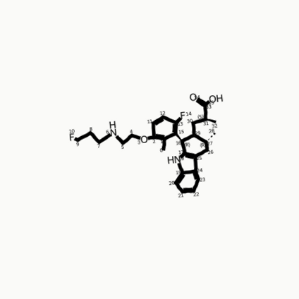 Cc1c(OCCNCCCF)ccc(F)c1[C@@H]1c2[nH]c3ccccc3c2C[C@@H](C)C1C[C@H](C)C(=O)O